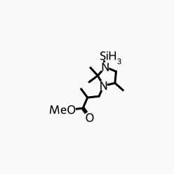 COC(=O)C(C)CN1C(C)CN([SiH3])C1(C)C